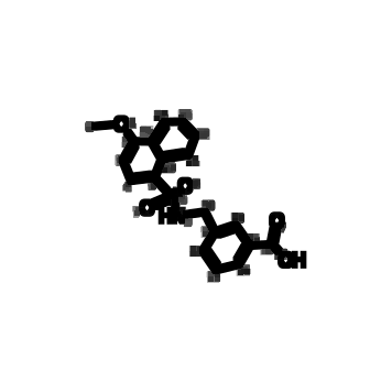 COc1ccc(S(=O)(=O)NCc2cccc(C(=O)O)c2)c2ccccc12